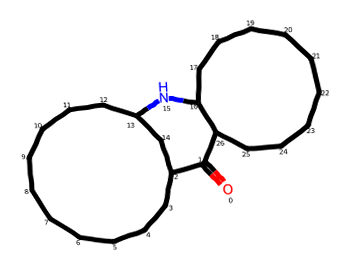 O=C1C2CCCCCCCCCCC(C2)NC2CCCCCCCCCC12